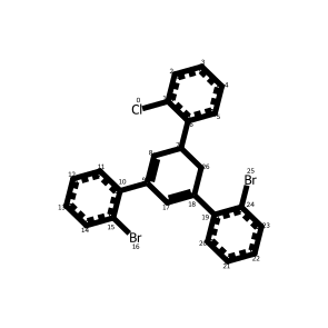 Clc1ccccc1C1C=C(c2ccccc2Br)C=C(c2ccccc2Br)C1